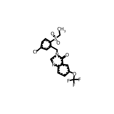 CCS(=O)(=O)c1ccc(Cl)cc1Cn1cnc2ccc(OC(F)(F)F)cc2c1=O